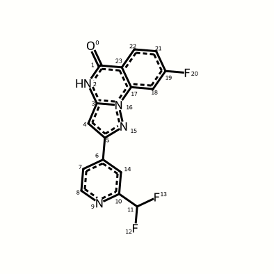 O=c1[nH]c2cc(-c3ccnc(C(F)F)c3)nn2c2cc(F)ccc12